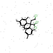 Cc1cc(C)c(C(CCCl)([C](Cl)Cl)c2c(C)cc(C)cc2C)c(C)c1